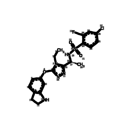 CCn1c(Oc2ccc3c(c2)NCC3)nnc1[C@@H](C)NS(=O)(=O)c1ccc(Cl)cc1F